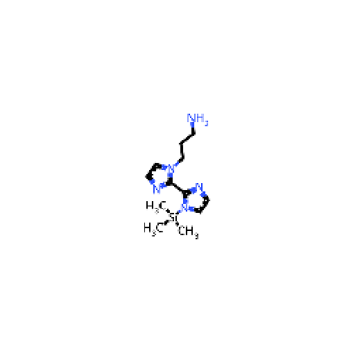 C[Si](C)(C)n1ccnc1-c1nccn1CCCN